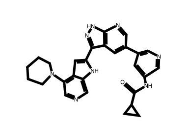 O=C(Nc1cncc(-c2cnc3[nH]nc(-c4cc5c(N6CCCCC6)cncc5[nH]4)c3c2)c1)C1CC1